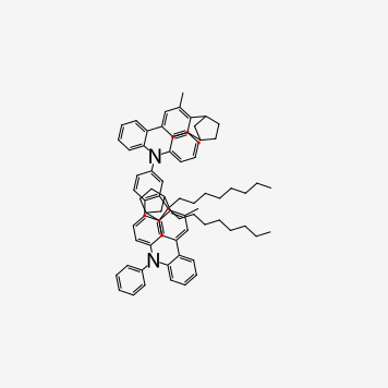 CCCCCCCCC1(CCCCCCCC)c2cc(N(c3ccccc3)c3ccccc3-c3cc(C)c4c(c3)C3CCC4C3)ccc2-c2ccc(N(c3ccccc3)c3ccccc3-c3cc(C)c4c(c3)C3CCC4C3)cc21